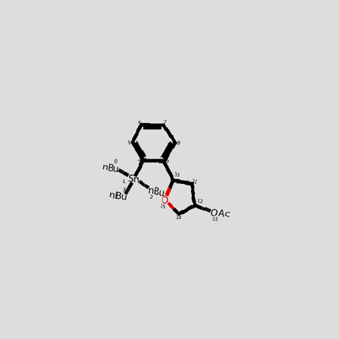 CCC[CH2][Sn]([CH2]CCC)([CH2]CCC)[c]1ccccc1C1CC(OC(C)=O)CO1